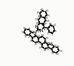 c1ccc(-c2nc(-n3c4ccccc4c4ccc5c6ccc7c8ccccc8sc7c6ccc5c43)nc3cc4ccccc4cc23)cc1